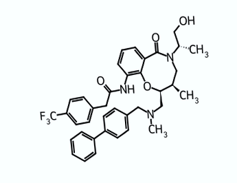 C[C@@H]1CN([C@@H](C)CO)C(=O)c2cccc(NC(=O)Cc3ccc(C(F)(F)F)cc3)c2O[C@@H]1CN(C)Cc1ccc(-c2ccccc2)cc1